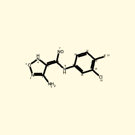 NC1=NONC1=C(N=O)Nc1ccc(F)c(Cl)c1